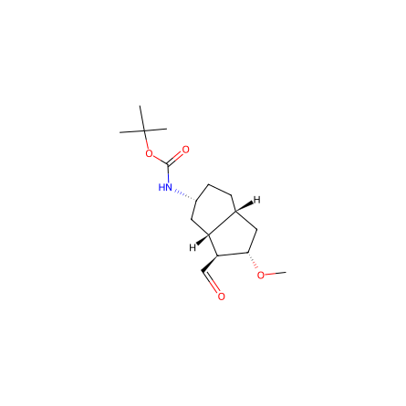 CO[C@H]1C[C@H]2CC[C@@H](NC(=O)OC(C)(C)C)C[C@H]2[C@@H]1C=O